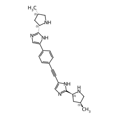 C[C@@H]1CN[C@H](c2ncc(C#Cc3ccc(-c4cnc([C@@H]5C[C@H](C)CN5)[nH]4)cc3)[nH]2)C1